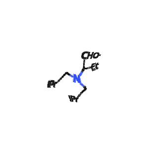 CCC([C]=O)N(CC(C)C)CC(C)C